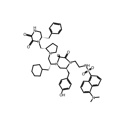 CN(C)c1cccc2c(S(=O)(=O)NCCN3C(=O)C(=O)N([C@H](CC4CCCCC4)CN4CCC[C@H]4CN4C(=O)C(=O)NC[C@@H]4Cc4ccccc4)C[C@@H]3Cc3ccc(O)cc3)cccc12